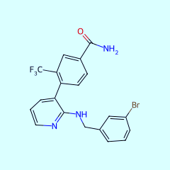 NC(=O)c1ccc(-c2cccnc2NCc2cccc(Br)c2)c(C(F)(F)F)c1